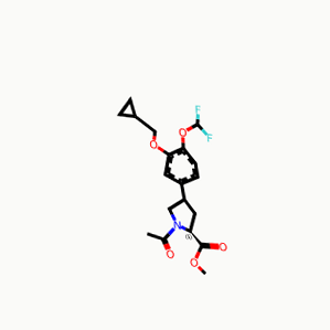 COC(=O)[C@@H]1CC(c2ccc(OC(F)F)c(OCC3CC3)c2)CN1C(C)=O